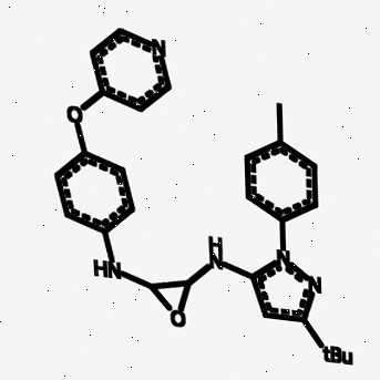 Cc1ccc(-n2nc(C(C)(C)C)cc2NC2OC2Nc2ccc(Oc3ccncc3)cc2)cc1